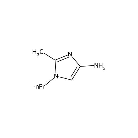 CC[CH]n1cc(N)nc1C